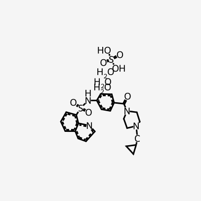 O.O.O.O=C(c1ccc(NS(=O)(=O)c2cccc3cccnc23)cc1)N1CCN(CC2CC2)CC1.O=S(=O)(O)O